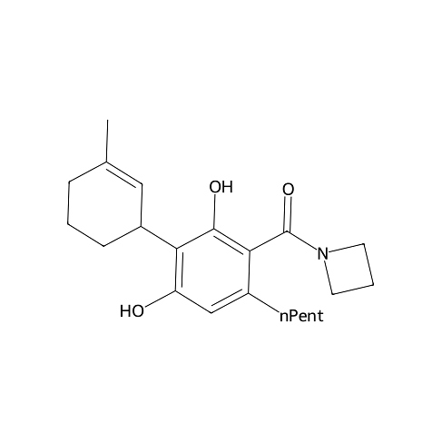 CCCCCc1cc(O)c(C2C=C(C)CCC2)c(O)c1C(=O)N1CCC1